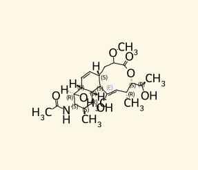 COC1C[C@H]2C=C[C@H]3[C@H]4O[C@]2(/C(C)=C/[C@@H](C)[C@@H]([C@@H](C)O)OC1=O)[C@@H]3[C@H](O)[C@@H](C)[C@@H]4NC(C)=O